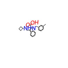 Cc1cccc(Cn2c(C(=O)O)c(CNC3CCC3)c3ccccc32)c1